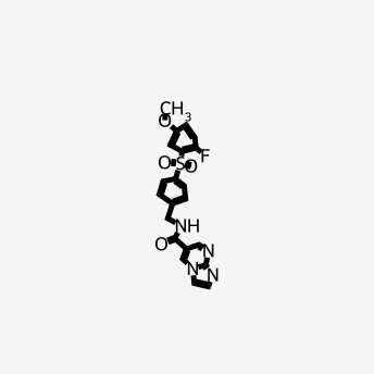 COc1ccc(F)c(S(=O)(=O)c2ccc(CNC(=O)c3cnc4nccn4c3)cc2)c1